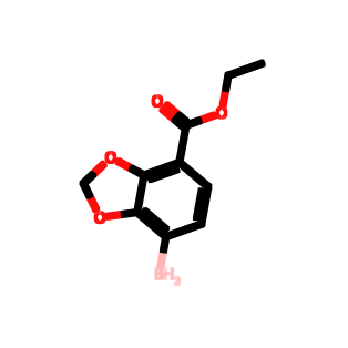 Bc1ccc(C(=O)OCC)c2c1OCO2